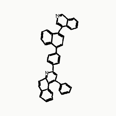 c1ccc(-c2cc(-c3ccc(-c4ccc(-c5cncc6ccccc56)c5ccccc45)cc3)nc3ccc4ccccc4c23)cc1